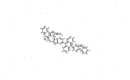 C=Cc1oc2cc(-c3c4ccccc4c(-c4ccc5c(c4)oc4ccccc45)c4ccccc34)ccc2c1-c1c(C)oc2c1ccc1ccccc12